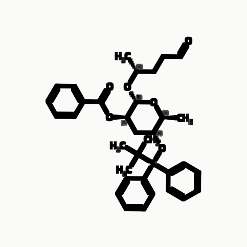 C[C@H](CCC=O)O[C@@H]1O[C@@H](C)[C@H](O[Si](c2ccccc2)(c2ccccc2)C(C)(C)C)C[C@H]1OC(=O)c1ccccc1